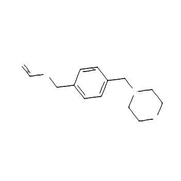 O=CNCc1ccc(CN2CCNCC2)cc1